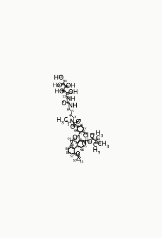 CCN(CCCCNC(=O)NC[C@H](O)[C@@H](O)[C@H](O)[C@H](O)CO)S(=O)(=O)c1ccc(Cl)c(COC2(c3c[n+](COC(=O)C(C)(C)C)ccc3-c3ccccc3OC3CC3)CC2)c1